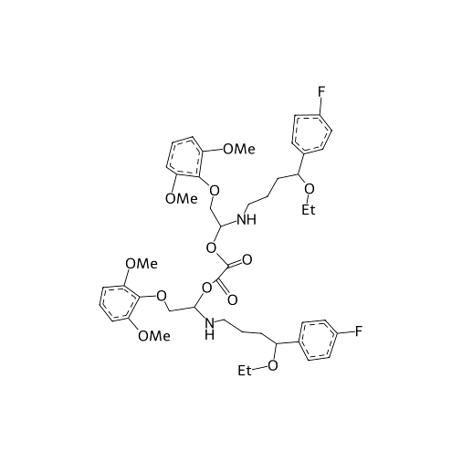 CCOC(CCCNC(COc1c(OC)cccc1OC)OC(=O)C(=O)OC(COc1c(OC)cccc1OC)NCCCC(OCC)c1ccc(F)cc1)c1ccc(F)cc1